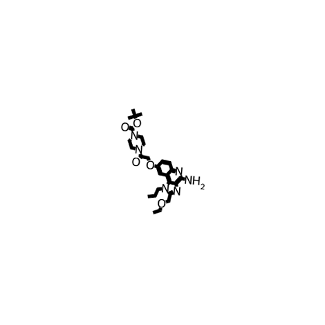 CCCn1c(COCC)nc2c(N)nc3ccc(OCC(=O)N4CCN(C(=O)OC(C)(C)C)CC4)cc3c21